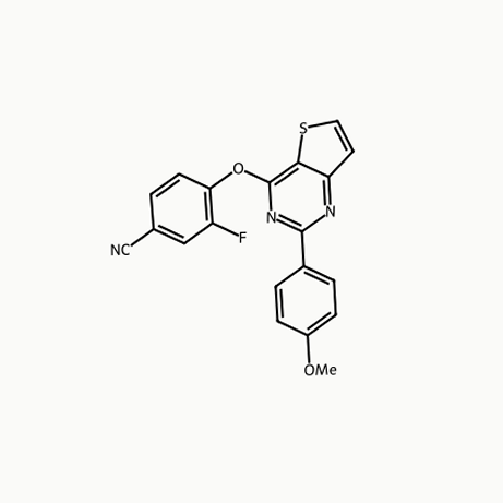 COc1ccc(-c2nc(Oc3ccc(C#N)cc3F)c3sccc3n2)cc1